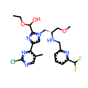 CCOC(O)c1nc(-c2nc(Cl)ncc2C)cn1C[C@H](COC)NCc1cccc(C(F)F)n1